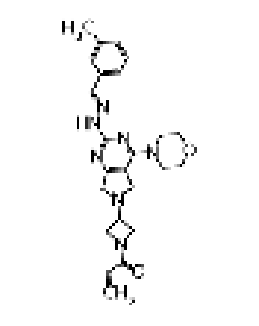 C=CC(=O)N1CC(N2Cc3nc(N/N=C/c4cccc(C)c4)nc(N4CCOCC4)c3C2)C1